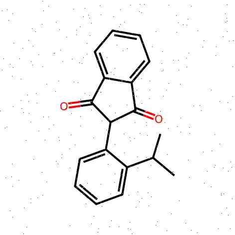 CC(C)c1ccccc1C1C(=O)c2ccccc2C1=O